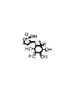 O=P1(O)OCCC1C[C@@H]1[C@@H](O)[C@H](O)[C@H](O)[C@@H](O)C1(F)F